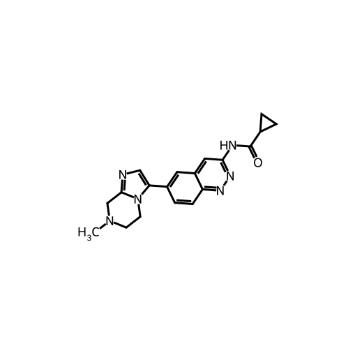 CN1CCn2c(-c3ccc4nnc(NC(=O)C5CC5)cc4c3)cnc2C1